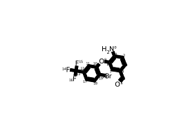 Nc1ccc(C=O)cc1Oc1cc(C(F)(F)F)ccc1Br